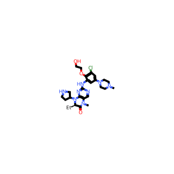 CC[C@@H]1C(=O)N(C)c2cnc(Nc3cc(N4CCN(C)CC4)cc(Cl)c3OCCO)nc2N1C1CCNC1